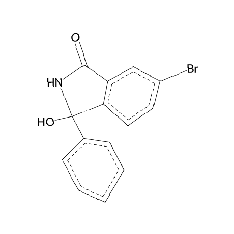 O=C1NC(O)(c2ccccc2)c2ccc(Br)cc21